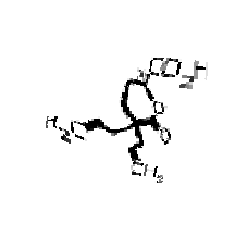 C=CCC1(CC=C)CC[C@@H](C(=O)O)OC1=O